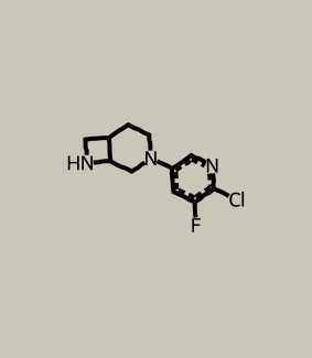 Fc1cc(N2CCC3CNC3C2)cnc1Cl